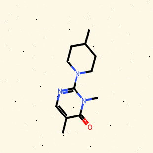 Cc1cnc(N2CCC(C)CC2)n(C)c1=O